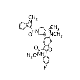 CNC(=O)c1c(-c2ccc(F)cc2)oc2cc(N(C)SC)c([C@H]3CCCN(C(=O)c4cn(C)c5ccccc45)C3)cc12